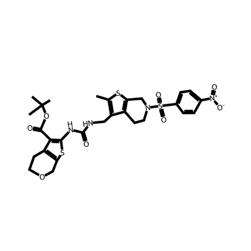 Cc1sc2c(c1CNC(=O)Nc1sc3c(c1C(=O)OC(C)(C)C)CCOC3)CCN(S(=O)(=O)c1ccc([N+](=O)[O-])cc1)C2